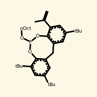 C=C(C)c1cc(C(C)(C)C)cc2c1OP(OCCCCCCCC)Oc1c(cc(C(C)(C)C)cc1C(C)(C)C)C2